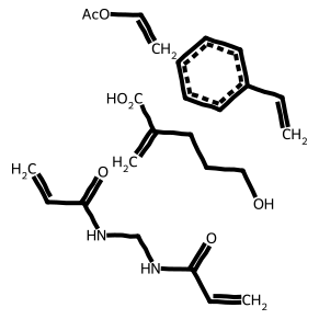 C=C(CCCO)C(=O)O.C=CC(=O)NCNC(=O)C=C.C=COC(C)=O.C=Cc1ccccc1